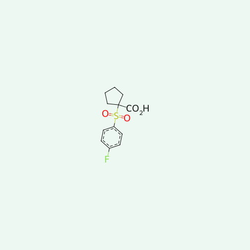 O=C(O)C1(S(=O)(=O)c2ccc(F)cc2)CCCC1